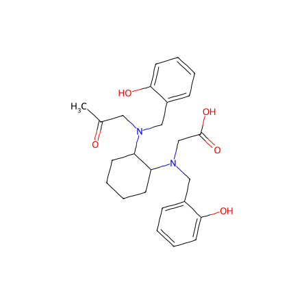 CC(=O)CN(Cc1ccccc1O)C1CCCCC1N(CC(=O)O)Cc1ccccc1O